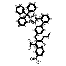 CCCc1nc2ccc([N+](=O)[O-])cc2c(C(=O)O)c1Cc1ccc(-c2ccccc2-c2nnn(C(c3ccccc3)(c3ccccc3)c3ccccc3)n2)cc1